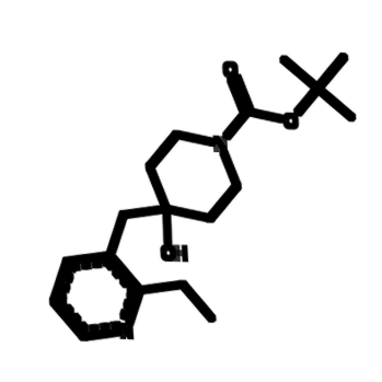 CCc1ncccc1CC1(O)CCN(C(=O)OC(C)(C)C)CC1